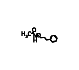 CC(=O)NOCCCc1ccccc1